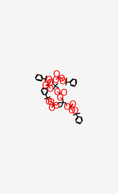 CCC(COC(=O)OCC(CC)(COC(=O)OOC(C)(C)c1ccccc1)COC(=O)OOC(C)(C)c1ccccc1)(COC(=O)OOC(C)(C)c1ccccc1)COC(=O)OOC(C)(C)c1ccccc1